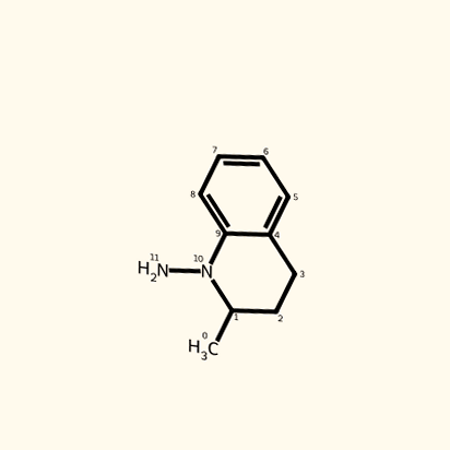 CC1CCc2ccccc2N1N